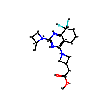 COC(=O)CC1CN(c2nc(N3CCC3C)nc3c2CCCC3(F)F)C1